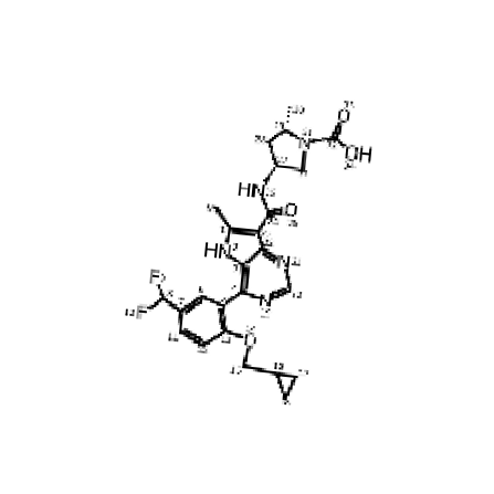 Cc1[nH]c2c(-c3cc(C(F)F)ccc3OCC3CC3)ncnc2c1C(=O)N[C@H]1C[C@H](C)N(C(=O)O)C1